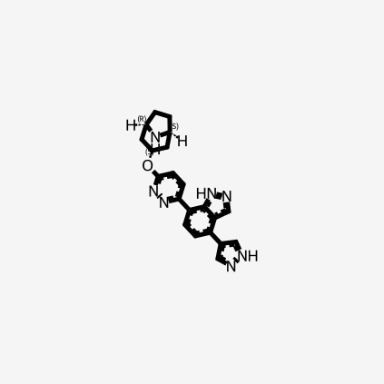 c1n[nH]cc1-c1ccc(-c2ccc(O[C@@H]3C[C@H]4CC[C@@H](C3)N4)nn2)c2[nH]ncc12